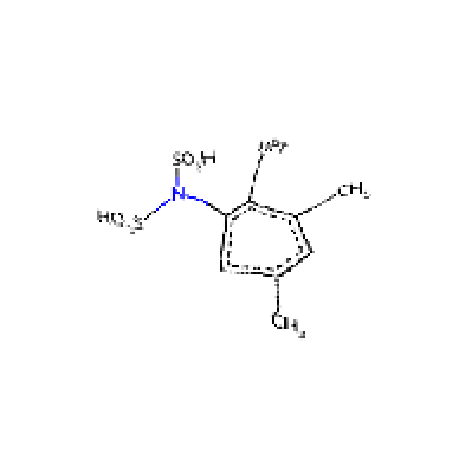 CCCc1c(C)cc(C)cc1N(S(=O)(=O)O)S(=O)(=O)O